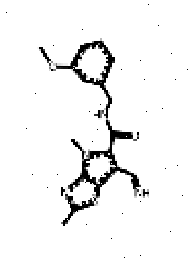 COc1cccc(CNC(=O)c2c(C=N)c3sc(C)nc3n2C)c1